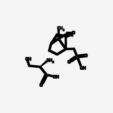 CC1(C)C2CCC1(CS(=O)(=O)O)C(=O)C2.N[C@@H](CO)C(=O)O